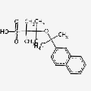 CC(C)(OC(C)(C)C(C)(C)S(=O)(=O)O)c1ccc2ccccc2c1